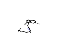 CC(C)=CCC/C(C)=C/Cc1c(O)ccc2c1OC(O)C=C2